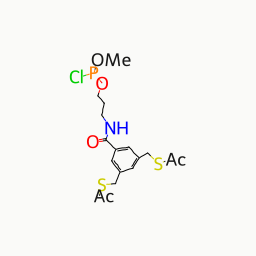 COP(Cl)OCCCNC(=O)c1cc(CSC(C)=O)cc(CSC(C)=O)c1